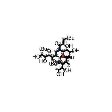 C=C(CN(C(/C=C(/C(=O)/C=C/C(C)(C)C)[C@H](OC(C)(C)C)[C@H](O)CO)C([C@@H](OC(C)(C)C)[C@@H](O)CO)C(C)(C)C)C(C)(C)C)C(C)[C@H](OC(C)(C)C)C(O)CO